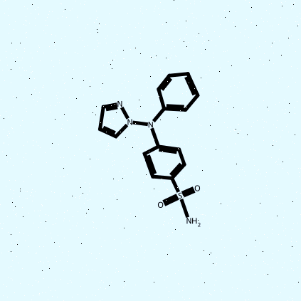 NS(=O)(=O)c1ccc(N(c2ccccc2)n2cccn2)cc1